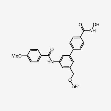 CCCOCc1cc(NC(=O)c2ccc(OC)cc2)cc(-c2ccc(C(=O)NO)cc2)c1